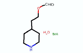 Br.O.O=COCCC1CCNCC1